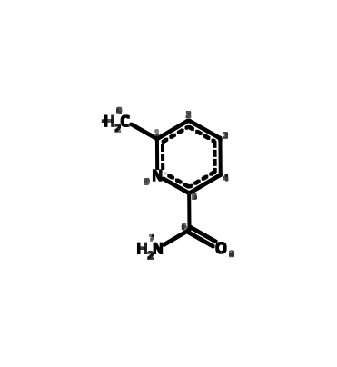 [CH2]c1cccc(C(N)=O)n1